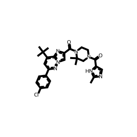 Cc1ncc(C(=O)N2CCN(C(=O)c3cn4nc(-c5ccc(Cl)cc5)cc(C(C)(C)C)c4n3)C(C)(C)C2)[nH]1